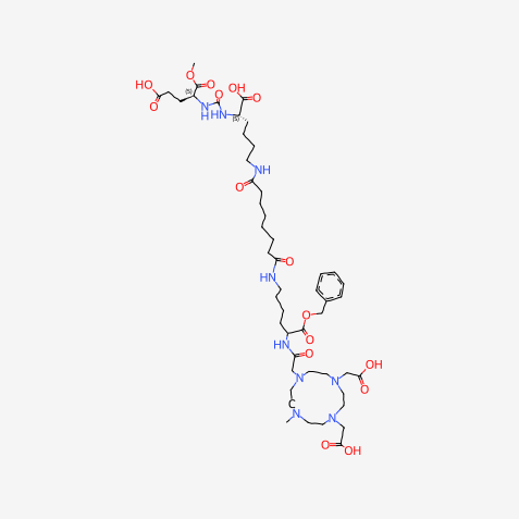 COC(=O)[C@H](CCC(=O)O)NC(=O)N[C@@H](CCCCNC(=O)CCCCCCC(=O)NCCCCC(NC(=O)CN1CCN(C)CCN(CC(=O)O)CCN(CC(=O)O)CC1)C(=O)OCc1ccccc1)C(=O)O